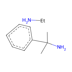 CC(C)(N)c1ccccc1.CCN